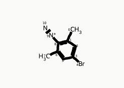 Cc1cc(Br)cc(C)c1[N+]#N